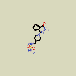 NS(=O)(=O)NCC1CCN(c2n[nH]c(=O)c3ccccc23)CC1